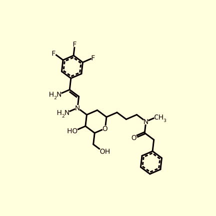 CN(CCCC1CC(N(N)/C=C(\N)c2cc(F)c(F)c(F)c2)C(O)C(CO)O1)C(=O)Cc1ccccc1